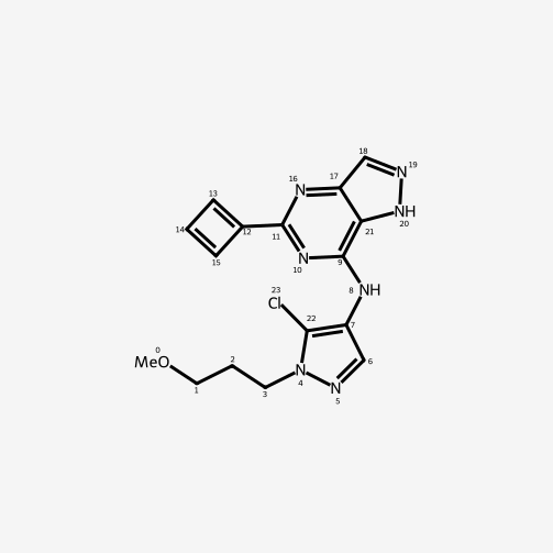 COCCCn1ncc(Nc2nc(C3=CC=C3)nc3cn[nH]c23)c1Cl